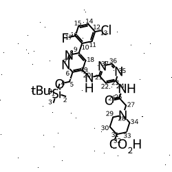 CC(C)(C)[Si](C)(C)OCc1nnc(-c2cc(Cl)ccc2F)cc1Nc1cc(NC(=O)CN2CCC(C(=O)O)CC2)ncn1